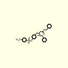 Cc1ccc(S(=O)(=O)Oc2ccc(CC(CC(=O)OCc3ccccc3)NCc3ccccc3)cc2)cc1